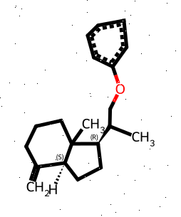 C=C1CCCC2(C)[C@@H](C(C)COc3ccccc3)CC[C@@H]12